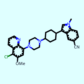 COc1cc(N2CCN(C3CCC(c4cn(C)c5ccc(C#N)cc45)CC3)CC2)c2ncccc2c1Cl